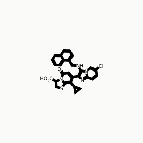 O=C(O)C1CSc2c(C3CC3)c(-c3nc4ccc(Cl)cn4c3NCc3cccc4ccccc34)cc(=O)n21